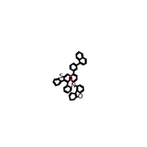 C1=Cc2c(oc3cccc(N(c4ccc(-c5cccc(-c6cccc7ccccc67)c5)cc4)c4ccccc4-c4cccc5sc6ccccc6c45)c23)CC1